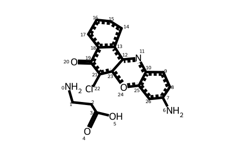 NCCC(=O)O.Nc1ccc2nc3c4ccccc4c(=O)c(Cl)c-3oc2c1